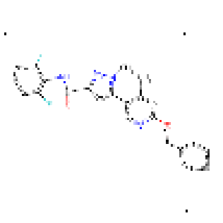 Cc1cc(OCc2ccccc2)ncc1-c1cc(C(=O)Nc2c(F)cccc2F)nn1C